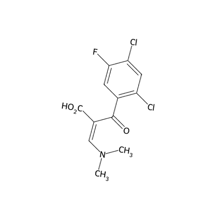 CN(C)/C=C(/C(=O)O)C(=O)c1cc(F)c(Cl)cc1Cl